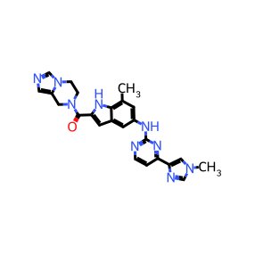 Cc1cc(Nc2nccc(-c3cn(C)cn3)n2)cc2cc(C(=O)N3CCn4cncc4C3)[nH]c12